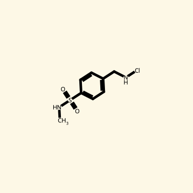 CNS(=O)(=O)c1ccc(CNCl)cc1